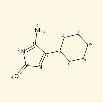 NC1=NC(=O)N=C1C1CCCCC1